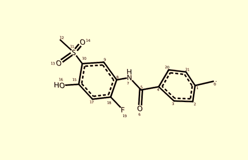 [CH2]c1ccc(C(=O)Nc2cc(S(C)(=O)=O)c(O)cc2F)cc1